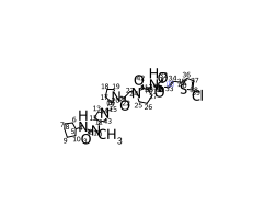 CN(C(=O)NC1CCCCC1)C1CCN(C[C@@H]2CCCN2C(=O)CN2CCC[C@H](NS(=O)(=O)/C=C/c3ccc(Cl)s3)C2=O)C1